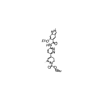 CCOc1cc2nn(C)cc2cc1C(=O)Nc1ccc(C2=C[C@@H](C)N(C(=O)OC(C)(C)C)CC2)nn1